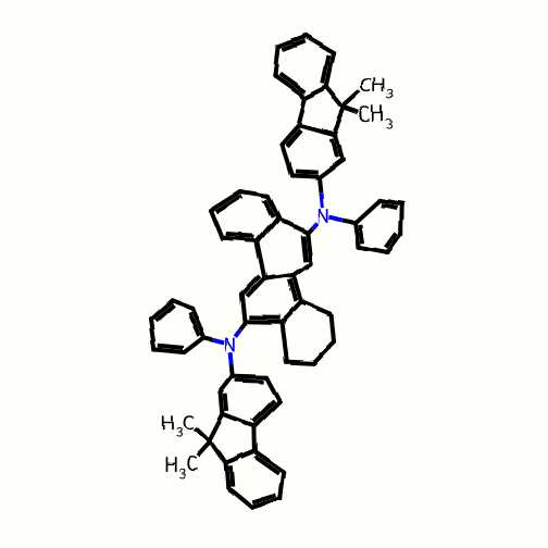 CC1(C)c2ccccc2-c2ccc(N(c3ccccc3)c3cc4c(cc(N(c5ccccc5)c5ccc6c(c5)C(C)(C)c5ccccc5-6)c5ccccc54)c4c3CCCC4)cc21